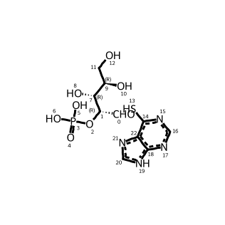 O=C[C@H](OP(=O)(O)O)[C@H](O)[C@H](O)CO.Sc1ncnc2[nH]cnc12